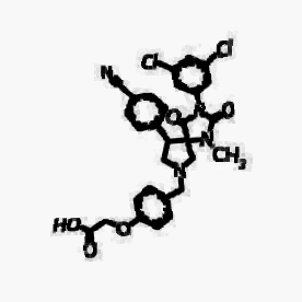 CN1C(=O)N(c2cc(Cl)cc(Cl)c2)C(=O)C12CN(Cc1ccc(OCC(=O)O)cc1)CC2c1ccc(C#N)cc1